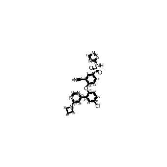 N#Cc1cc(S(=O)(=O)Nc2ncns2)ccc1Oc1ccc(Cl)cc1-c1cc(N2CCC2)ncn1